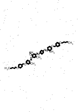 CCCCCOc1ccc(COc2ccc(N=Nc3ccc(N=Nc4cc(OC)c(N=Nc5ccc(OCc6ccc(OCCCCC)cc6)cc5C)cc4C)cc3)c(C)c2)cc1